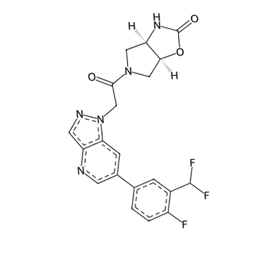 O=C1N[C@@H]2CN(C(=O)Cn3ncc4ncc(-c5ccc(F)c(C(F)F)c5)cc43)C[C@@H]2O1